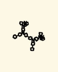 C1=CB2N(C=C1)c1ccccc1N2c1ccc(N(c2ccc(-c3ccccc3)cc2)c2ccc(-c3ccc(N(c4ccc(-c5ccccc5)cc4)c4ccc(N5B6C=CC=CN6c6ccccc65)cc4)cc3)cc2)cc1